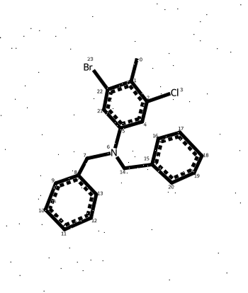 Cc1c(Cl)cc(N(Cc2ccccc2)Cc2ccccc2)cc1Br